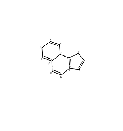 [CH]1C=CC2=C1C1C=CCC=C1C=C2